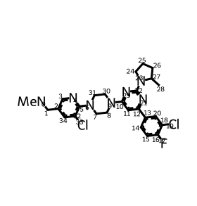 CNCc1cnc(N2CCN(c3cc(-c4ccc(F)c(Cl)c4)nc(N4CCCC4C)n3)CC2)c(Cl)c1